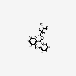 CC(C)(COCN1CC=CC=C1Oc1ccccc1)C(F)F